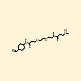 CNCCC(=O)NCCOCCOCCC(=O)NC1CCC(C=O)CC1